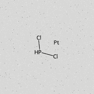 ClPCl.[Pt]